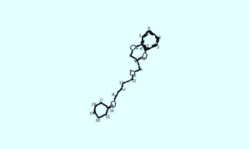 c1ccc2c(c1)OCC(COCCCCOC1CCCCC1)O2